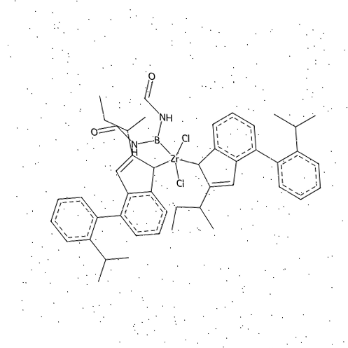 CCC(C)C1=Cc2c(-c3ccccc3C(C)C)cccc2[CH]1[Zr]([Cl])([Cl])([B](NC=O)NC=O)[CH]1C(C(C)CC)=Cc2c(-c3ccccc3C(C)C)cccc21